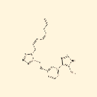 C=CC/C=C\C=C/Cn1nnnc1COc1cccc(-c2nn[nH]c2N)c1